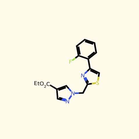 CCOC(=O)c1cnn(Cc2nc(-c3ccccc3F)cs2)c1